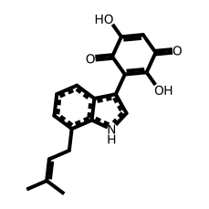 CC(C)=CCc1cccc2c(C3=C(O)C(=O)C=C(O)C3=O)c[nH]c12